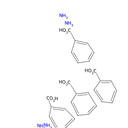 N.N.N.N.O=C(O)c1ccccc1.O=C(O)c1ccccc1.O=C(O)c1ccccc1.O=C(O)c1ccccc1